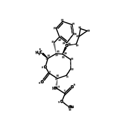 C[C@@H]1OC(=O)[C@@H](NC(=O)OC(C)(C)C)CCC[C@H](OCC2CC2)[C@H]1Cc1ccccc1